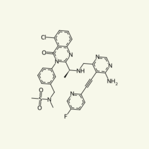 C[C@H](NCc1ncnc(N)c1C#Cc1ccc(F)cn1)c1nc2cccc(Cl)c2c(=O)n1-c1cccc(CN(C)S(C)(=O)=O)c1